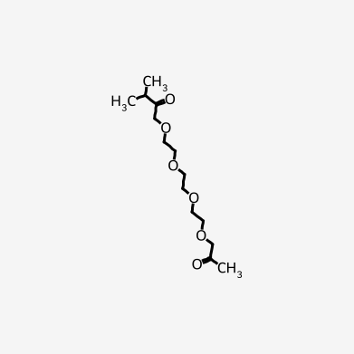 CC(=O)COCCOCCOCCOCC(=O)C(C)C